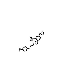 O=Cc1ccc(OCCCCc2ccc(F)cc2)c(Br)c1